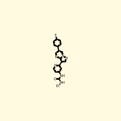 CCNC(=O)Nc1ccnc(-c2cnn3cc(-c4ccc(F)cc4)cnc23)c1